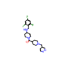 O=C(C1CCN(Cc2ccnnc2)CC1)N1CCC(NCc2c(F)cc(F)cc2F)CC1